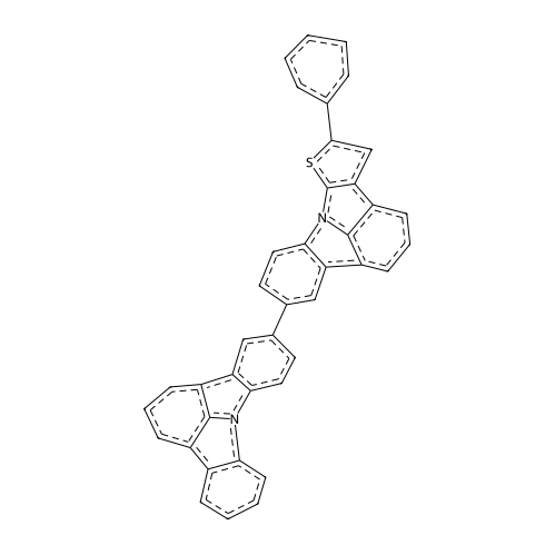 c1ccc(-c2cc3c4cccc5c6cc(-c7ccc8c(c7)c7cccc9c%10ccccc%10n8c97)ccc6n(c3s2)c54)cc1